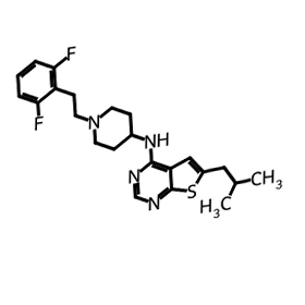 CC(C)Cc1cc2c(NC3CCN(CCc4c(F)cccc4F)CC3)ncnc2s1